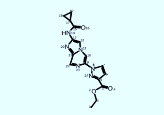 CCOC(=O)c1ccn(-c2cn3cc(NC(=O)C4CC4)nc3cn2)n1